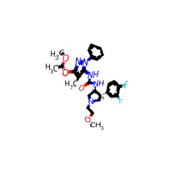 COCCN1C[C@@H](NC(=O)Nc2c(C)c(OC(C)OC)nn2-c2ccccc2)[C@H](c2ccc(F)c(F)c2)C1